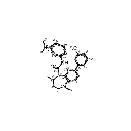 C[C@@H]1CCN(C)c2ccc(-c3cccc(C(F)(F)F)c3)nc2N1C(=O)Nc1nccc(N(C)C)n1